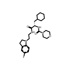 O=C(NCCN1CCc2cc(F)ccc21)[C@H](CC1CCCCC1)NC(=O)N1CCOCC1